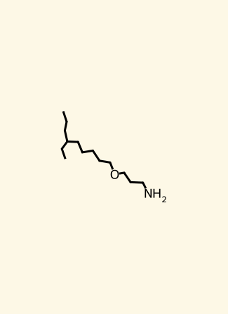 CCCC(CC)CCCCCOCCCN